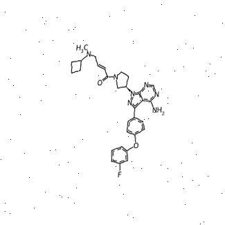 CN(CC=CC(=O)N1CC[C@@H](n2nc(-c3ccc(Oc4cccc(F)c4)cc3)c3c(N)ncnc32)C1)C1CCC1